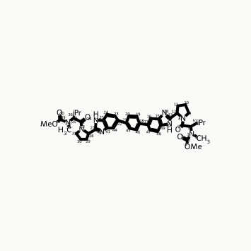 COC(=O)N(C)C(C(=O)N1CCCC1c1nc2cc(-c3ccc(-c4ccc5[nH]c(C6CCCN6C(=O)[C@H](C(C)C)N(C)C(=O)OC)nc5c4)cc3)ccc2[nH]1)C(C)C